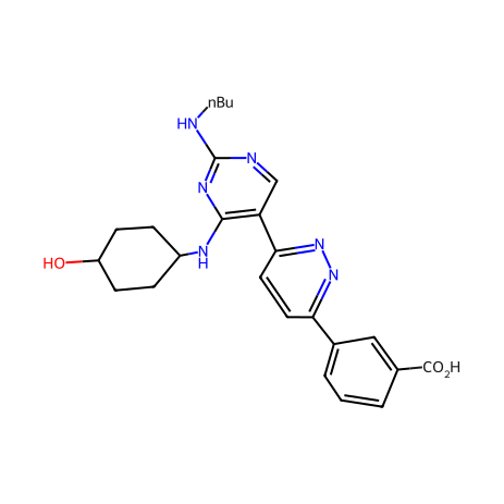 CCCCNc1ncc(-c2ccc(-c3cccc(C(=O)O)c3)nn2)c(NC2CCC(O)CC2)n1